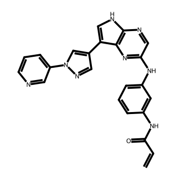 C=CC(=O)Nc1cccc(Nc2cnc3[nH]cc(-c4cnn(-c5cccnc5)c4)c3n2)c1